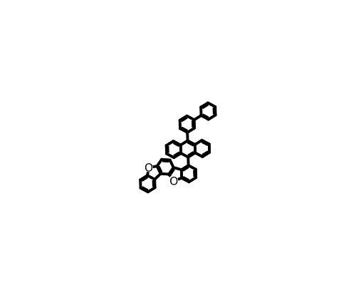 c1ccc(-c2cccc(-c3c4ccccc4c(-c4cccc5oc6c(ccc7oc8ccccc8c76)c45)c4ccccc34)c2)cc1